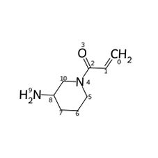 C=CC(=O)N1CCCC(N)C1